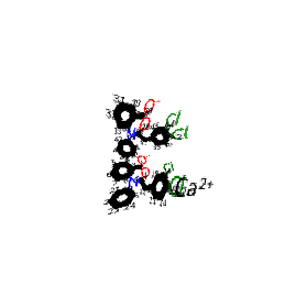 O=C([O-])c1ccccc1N(CCc1ccc(Cl)c(Cl)c1)c1ccccc1.O=C([O-])c1ccccc1N(CCc1ccc(Cl)c(Cl)c1)c1ccccc1.[Ca+2]